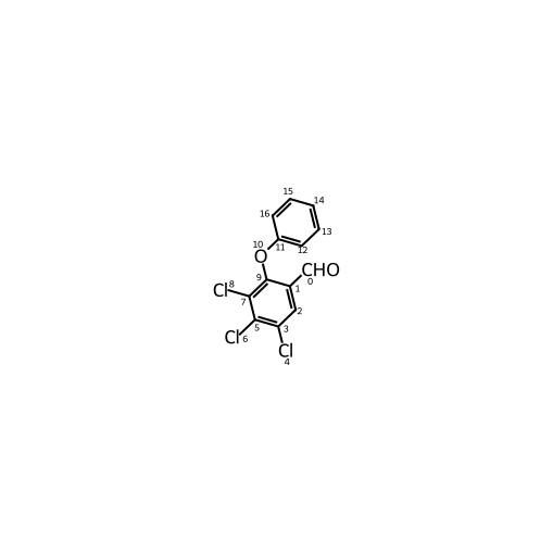 O=Cc1cc(Cl)c(Cl)c(Cl)c1Oc1ccccc1